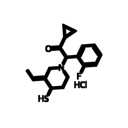 CC=C1CN(C(C(=O)C2CC2)c2ccccc2F)CCC1S.Cl